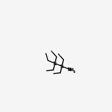 CC[Si]([SiH3])(CC)[Si](CC)(CC)CC